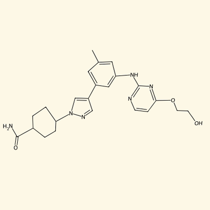 Cc1cc(Nc2nccc(OCCO)n2)cc(-c2cnn(C3CCC(C(N)=O)CC3)c2)c1